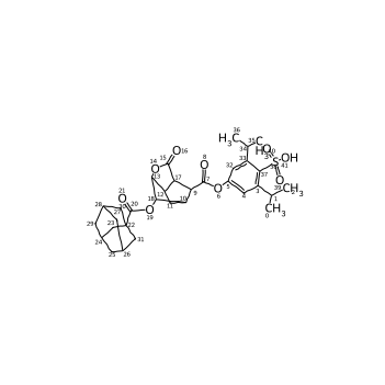 CC(C)c1cc(OC(=O)C2C3CC4C(OC(=O)C42)C3OC(=O)C23CC4CC(CC(C4)C2)C3)cc(C(C)C)c1S(=O)(=O)O